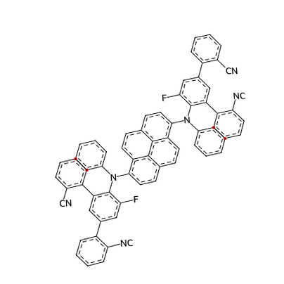 [C-]#[N+]c1ccccc1-c1cc(F)c(N(c2ccccc2)c2ccc3ccc4c(N(c5ccccc5)c5c(F)cc(-c6ccccc6C#N)cc5-c5ccccc5[N+]#[C-])ccc5ccc2c3c54)c(-c2ccccc2C#N)c1